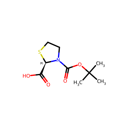 CC(C)(C)OC(=O)N1CCS[C@@H]1C(=O)O